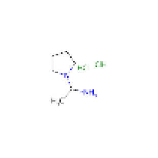 CC(N)N1CCCC1.Cl.Cl